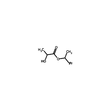 CC(O)C(=O)OC(C)C(C)C